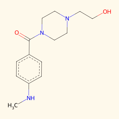 CNc1ccc(C(=O)N2CCN(CCO)CC2)cc1